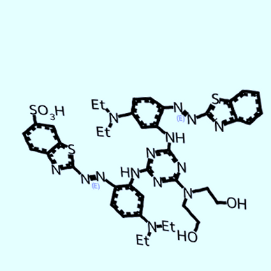 CCN(CC)c1ccc(/N=N/c2nc3ccccc3s2)c(Nc2nc(Nc3cc(N(CC)CC)ccc3/N=N/c3nc4ccc(S(=O)(=O)O)cc4s3)nc(N(CCO)CCO)n2)c1